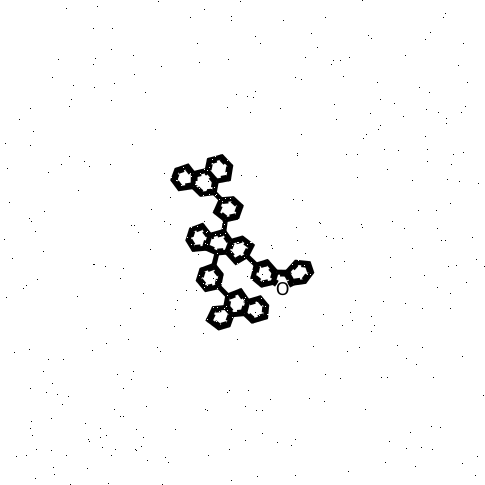 c1cc(-c2c3ccccc3c(-c3cccc(-c4cc5ccccc5c5ccccc45)c3)c3cc(-c4ccc5oc6ccccc6c5c4)ccc23)cc(-c2cc3ccccc3c3ccccc23)c1